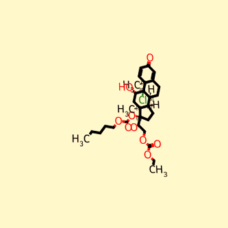 CCCCCOC(=O)O[C@]1(C(=O)COC(=O)OCC)CC[C@H]2[C@@H]3CCC4=CC(=O)C=C[C@]4(C)[C@@]3(Cl)C(O)C[C@@]21C